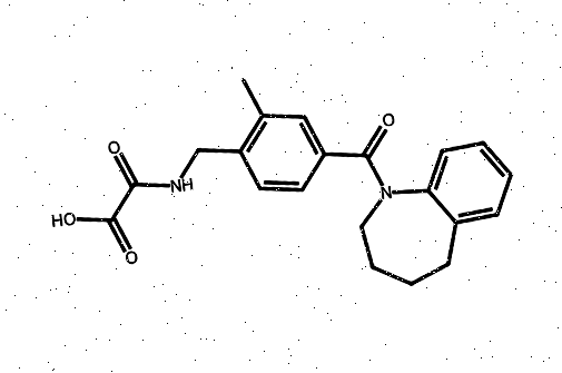 Cc1cc(C(=O)N2CCCCc3ccccc32)ccc1CNC(=O)C(=O)O